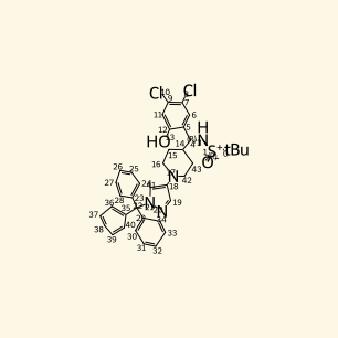 CC(C)(C)[S@+]([O-])N[C@@H](c1cc(Cl)c(Cl)cc1O)C1CCN(c2cnn(C(c3ccccc3)(c3ccccc3)c3ccccc3)c2)CC1